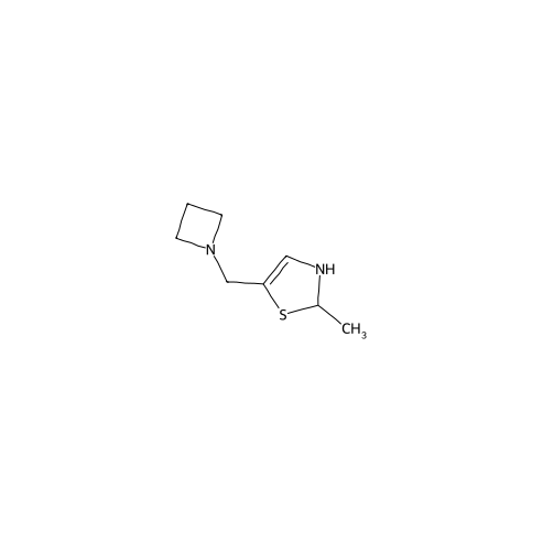 CC1NC=C(CN2CCC2)S1